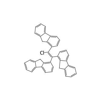 ClC(=C(c1cccc2c1Cc1ccccc1-2)c1cccc2c1Cc1ccccc1-2)c1cccc2c1Cc1ccccc1-2